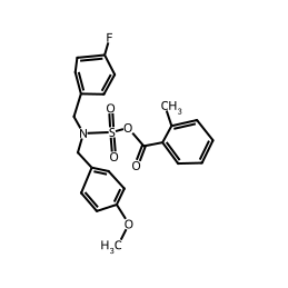 COc1ccc(CN(Cc2ccc(F)cc2)S(=O)(=O)OC(=O)c2ccccc2C)cc1